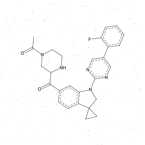 CC(=O)N1CCNC(C(=O)c2ccc3c(c2)N(c2ncc(-c4ccccc4F)cn2)CC32CC2)C1